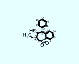 CC[C@H]1CS(=O)(=O)c2ccccc2[C@@H](c2ccccc2)[C@@H]1O